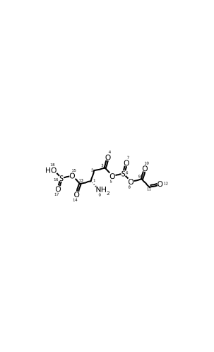 N[C@@H](CC(=O)OS(=O)OC(=O)C=O)C(=O)OS(=O)O